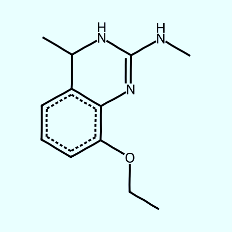 CCOc1cccc2c1N=C(NC)NC2C